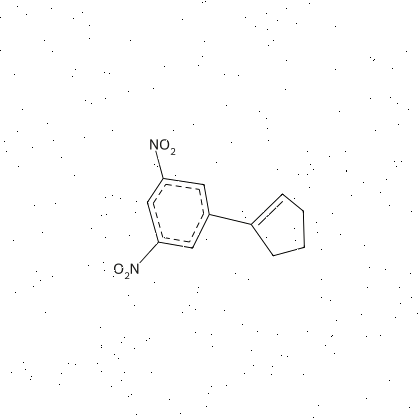 O=[N+]([O-])c1cc(C2=CCCC2)cc([N+](=O)[O-])c1